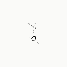 CC(C)(C)OC(=O)NCCNc1ccc(C#N)cc1F